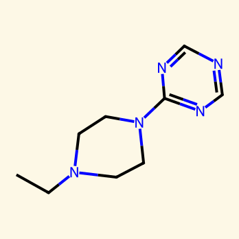 CCN1CCN(c2ncncn2)CC1